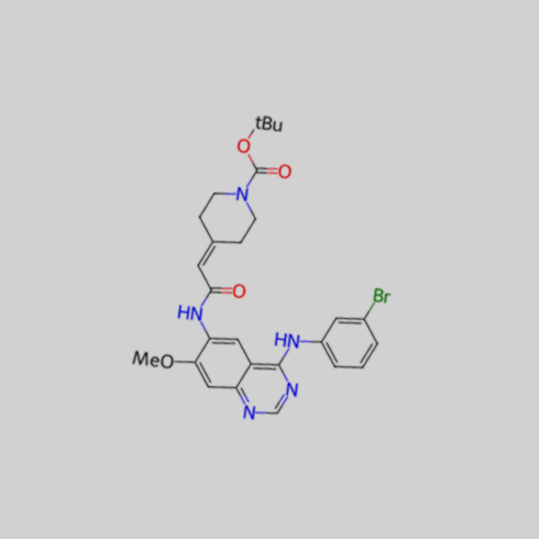 COc1cc2ncnc(Nc3cccc(Br)c3)c2cc1NC(=O)C=C1CCN(C(=O)OC(C)(C)C)CC1